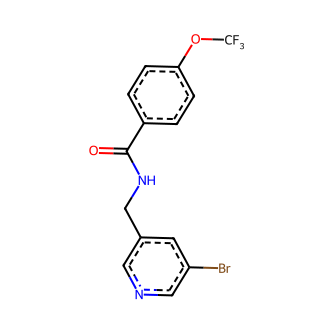 O=C(NCc1cncc(Br)c1)c1ccc(OC(F)(F)F)cc1